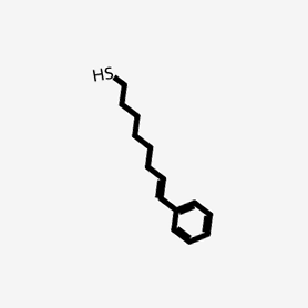 SCCCCCCC=Cc1ccccc1